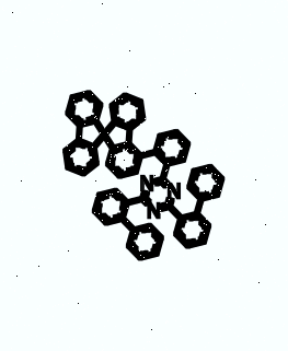 c1ccc(-c2ccccc2-c2nc(-c3ccccc3-c3ccccc3)nc(-c3ccccc3-c3cccc4c3-c3ccccc3C43c4ccccc4-c4ccccc43)n2)cc1